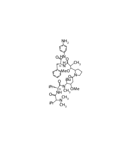 CCC(C)C(C(CC(=O)N1CCCC1C(OC)C(C)C(=O)N[C@@H](Cc1ccccc1)C(=O)Nc1ccc(N)cc1)OC)N(C)C(=O)[C@@H](NC(=O)C(C(C)C)N(C)C)C(C)C